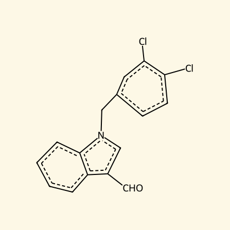 O=Cc1cn(Cc2ccc(Cl)c(Cl)c2)c2ccccc12